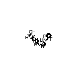 C[C@@H](CO)NC(=O)Cn1cc(Nc2nccc(NCc3c(F)cccc3F)n2)cn1